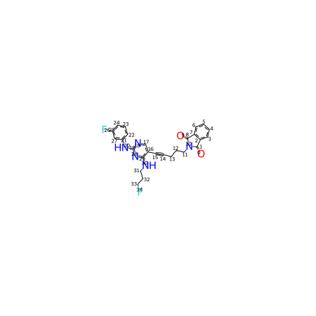 O=C1c2ccccc2C(=O)N1CCCC#Cc1cnc(Nc2cccc(F)c2)nc1NCCCF